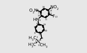 C[N+](C)(C)Cc1ccc(Nc2cc(F)c([N+](=O)[O-])cc2[N+](=O)[O-])cc1